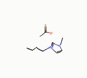 CC([O-])=S.CCCC[n+]1ccn(C)c1